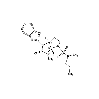 CCCN(C)S(=O)(=O)N1CC[C@H]2[C@H]1[C@H](C)C(=O)N2c1nc2ccccc2s1